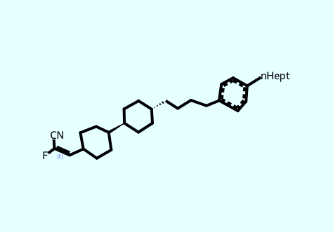 CCCCCCCc1ccc(CCCC[C@H]2CC[C@H](C3CCC(/C=C(/F)C#N)CC3)CC2)cc1